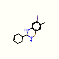 Cc1cc2c(cc1I)NC(C1CC=CCC1)NS2